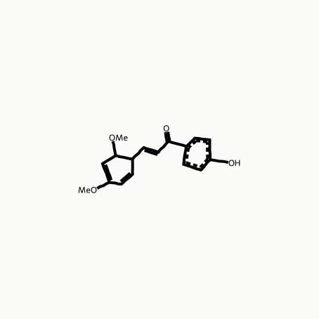 COC1=CC(OC)C(C=CC(=O)c2ccc(O)cc2)C=C1